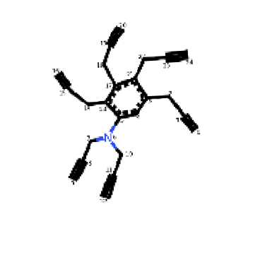 C#CCc1cc(N(CC#C)CC#C)c(CC#C)c(CC#C)c1CC#C